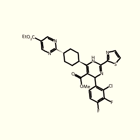 CCOC(=O)c1cnc([C@H]2CC[C@H](C3=C(C(=O)OC)C(c4ccc(F)c(F)c4Cl)N=C(c4nccs4)N3)CC2)nc1